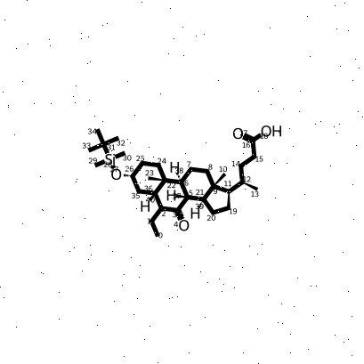 CCC1C(=O)[C@@H]2[C@H](CC[C@]3(C)[C@@H]([C@H](C)CCC(=O)O)CC[C@@H]23)[C@@]2(C)CC[C@@H](O[Si](C)(C)C(C)(C)C)C[C@@H]12